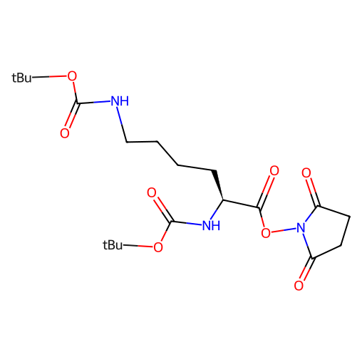 CC(C)(C)OC(=O)NCCCC[C@H](NC(=O)OC(C)(C)C)C(=O)ON1C(=O)CCC1=O